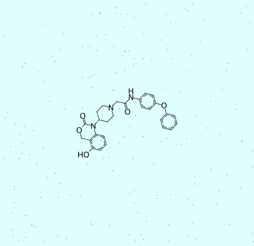 O=C(CN1CCC(N2C(=O)OCc3c(O)cccc32)CC1)Nc1ccc(Oc2ccccc2)cc1